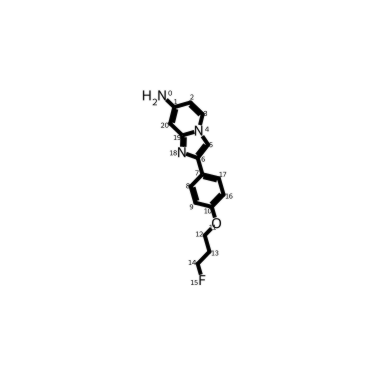 Nc1ccn2cc(-c3ccc(OCCCF)cc3)nc2c1